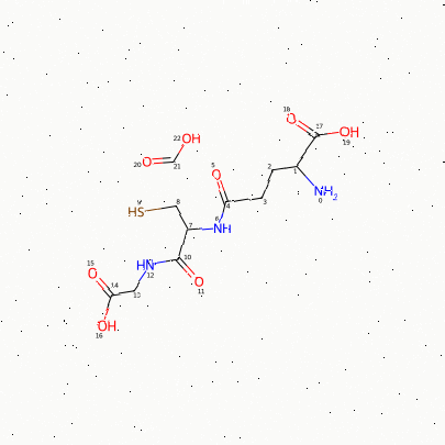 NC(CCC(=O)NC(CS)C(=O)NCC(=O)O)C(=O)O.O=CO